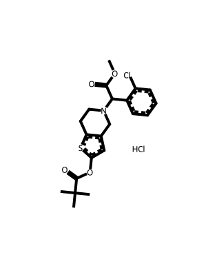 COC(=O)C(c1ccccc1Cl)N1CCc2sc(OC(=O)C(C)(C)C)cc2C1.Cl